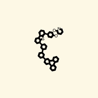 c1cc(-c2cccc(-c3cccc4c3sc3c(-c5ccc6c(c5)Oc5ncccc5O6)cccc34)c2)cc(-c2ccc3c4ccccc4c4ccccc4c3c2)c1